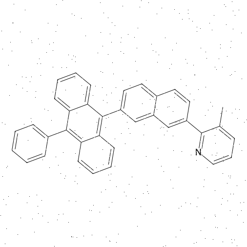 Cc1cccnc1-c1ccc2ccc(-c3c4ccccc4c(-c4ccccc4)c4ccccc34)cc2c1